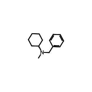 CN(Cc1ccccc1)[C]1CCCCC1